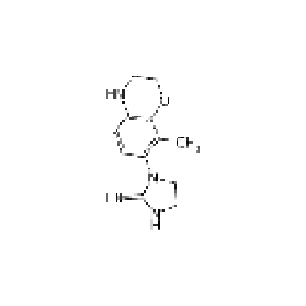 Cc1c(N2CCNC2=N)ccc2c1OCCN2